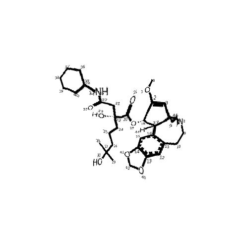 COC1=C[C@]23CCCN2CCc2cc4c(cc2[C@@H]3[C@@H]1OC(=O)[C@@](O)(CCCC(C)(C)O)CC(=O)NC1CCCCC1)OCO4